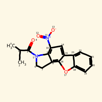 CC(C)C(=O)N1CCc2c1c([N+](=O)[O-])cc1c2oc2ccccc21